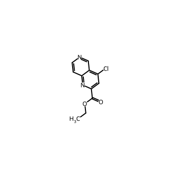 CCOC(=O)c1cc(Cl)c2cnccc2n1